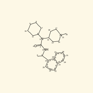 CC(NC(=O)N(C1CCCCC1)C1CCN(C)CC1)c1cccc2ccccc12